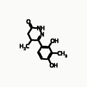 Cc1c(O)ccc(C2=NNC(=O)CC2C)c1O